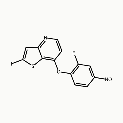 O=Nc1ccc(Oc2ccnc3cc(I)sc23)c(F)c1